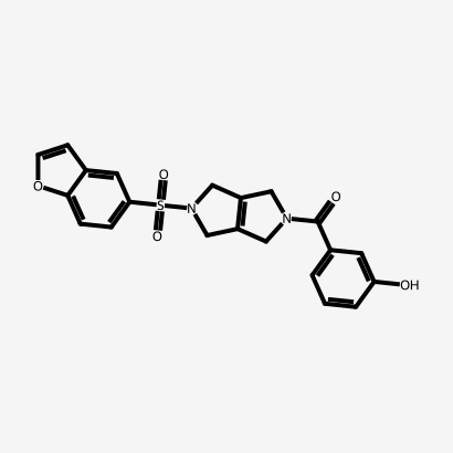 O=C(c1cccc(O)c1)N1CC2=C(C1)CN(S(=O)(=O)c1ccc3occc3c1)C2